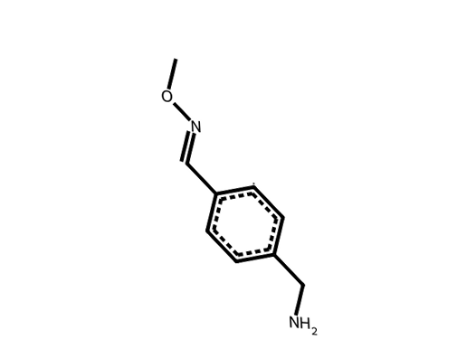 CON=Cc1[c]cc(CN)cc1